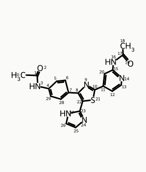 CC(=O)Nc1ccc(-c2nc(-c3ccnc(NC(C)=O)c3)sc2-c2ncc[nH]2)cc1